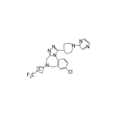 FC(F)(F)C12CC(N3Cc4cc(Cl)ccc4-n4c(nnc4C4CCN(c5cnccn5)CC4)C3)(C1)C2